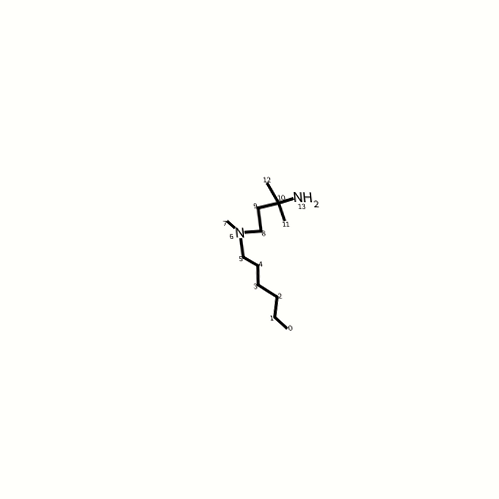 CCCCCCN(C)CCC(C)(C)N